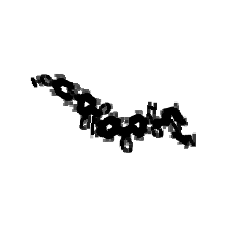 N#CCn1cccc1C(=O)Nc1ccc(C(=O)c2ccc(NC(=O)c3ccc(N4CCC(O)CC4)cc3Cl)cc2)cc1